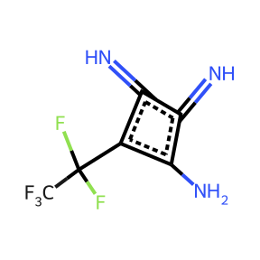 N=c1c(N)c(C(F)(F)C(F)(F)F)c1=N